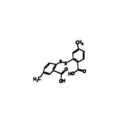 Cc1ccc(C(=O)O)c(SSc2ccc(C)cc2C(=O)O)c1